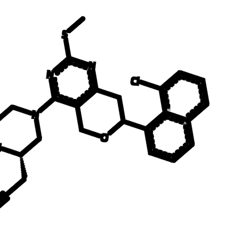 CSc1nc2c(c(N3CCN[C@@H](CC#N)C3)n1)COC(c1cccc3cccc(Cl)c13)C2